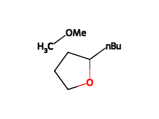 CCCCC1CCCO1.COC